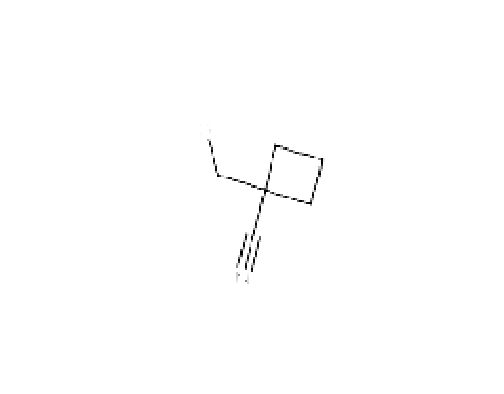 N#CC1(C[O])CCC1